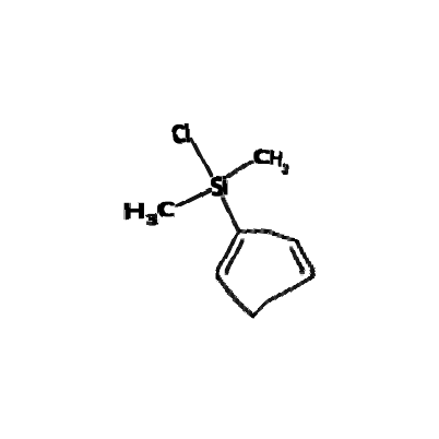 C[Si](C)(Cl)C1=CCC=C1